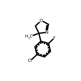 CC1(c2cc(Cl)ccc2F)CO[C]=N1